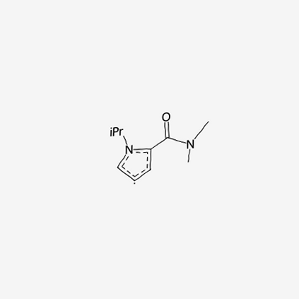 CC(C)n1c[c]cc1C(=O)N(C)C